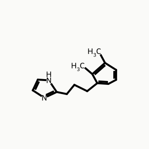 Cc1cccc(CCCc2ncc[nH]2)c1C